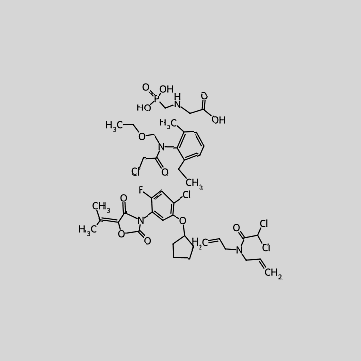 C=CCN(CC=C)C(=O)C(Cl)Cl.CC(C)=C1OC(=O)N(c2cc(OC3CCCC3)c(Cl)cc2F)C1=O.CCOCN(C(=O)CCl)c1c(C)cccc1CC.O=C(O)CNCP(=O)(O)O